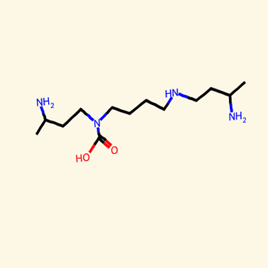 CC(N)CCNCCCCN(CCC(C)N)C(=O)O